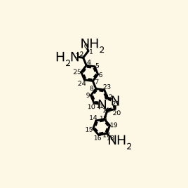 NCC(N)c1ccc(-c2ccn3c(-c4cccc(N)c4)cnc3c2)cc1